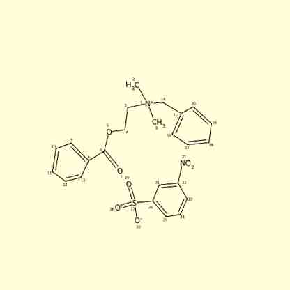 C[N+](C)(CCOC(=O)c1ccccc1)Cc1ccccc1.O=[N+]([O-])c1cccc(S(=O)(=O)[O-])c1